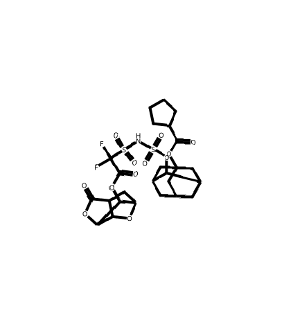 O=C(OC12CC3CC(C1)C(OS(=O)(=O)NS(=O)(=O)C(F)(F)C(=O)OC1C4CC5C(=O)OC1C5O4)C(C3)C2)C1CCCC1